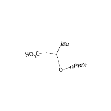 CCCCCOC(C(=O)O)C(C)CC